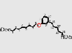 CCCCCCCCCCCCCCCCCCOc1cccc(CCCCCCCCCCCCCCC)c1